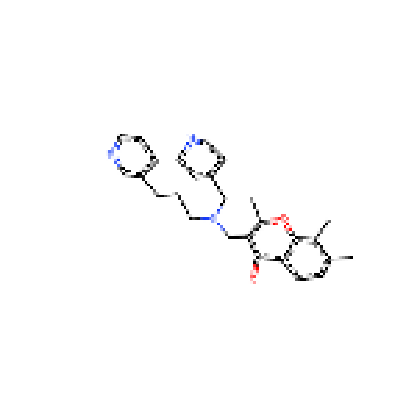 Cc1ccc2c(=O)c(CN(CCCc3cccnc3)Cc3ccncc3)c(C)oc2c1C